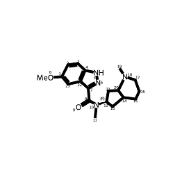 COc1ccc2[nH]nc(C(=O)N(C)[C@@H]3CC4CCCN(C)C4C3)c2c1